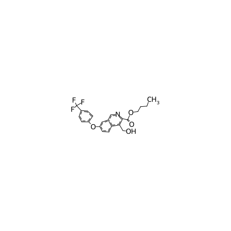 CCCCOC(=O)c1ncc2cc(Oc3ccc(C(F)(F)F)cc3)ccc2c1CO